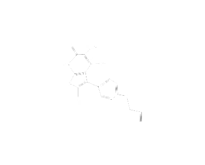 C=CCOc1ccc(-c2c(Cl)sc3[nH]c(=O)c(C#N)c(O)c23)cc1